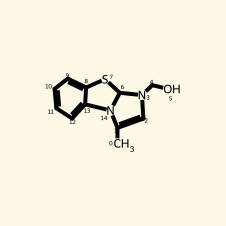 CC1=CN(CO)C2Sc3ccccc3N12